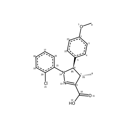 COc1ccc([C@H]2[C@H](C)C(C(=O)O)=NN2c2ccccc2Cl)cc1